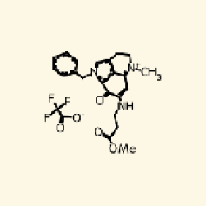 COC(=O)CCNC1=CC2=[N+](C)CCc3cn(Cc4ccccc4)c(c32)C1=O.O=C([O-])C(F)(F)F